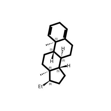 CC[C@@H]1CC[C@H]2[C@@H]3CCC4=CCC=C[C@]4(C)[C@H]3CC[C@]12C